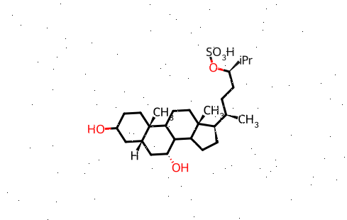 CC(C)[C@@H](CC[C@@H](C)[C@H]1CCC2C3C(CC[C@@]21C)[C@@]1(C)CCC(O)C[C@H]1C[C@H]3O)OS(=O)(=O)O